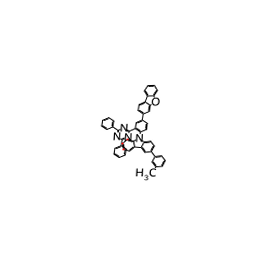 Cc1cccc(-c2ccc3c(c2)c2ccccc2n3-c2ccc(-c3ccc4c(c3)oc3ccccc34)cc2-c2nc(-c3ccccc3)nc(-c3ccccc3)n2)c1